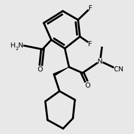 CN(C#N)C(=O)[C@@H](CC1CCCCC1)c1c(C(N)=O)ccc(F)c1F